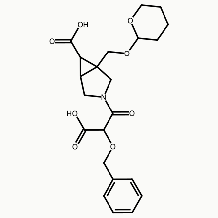 O=C(O)C(OCc1ccccc1)C(=O)N1CC2C(C(=O)O)C2(COC2CCCCO2)C1